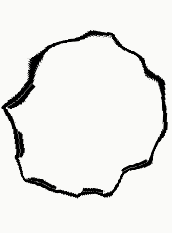 [C]1=C/C=C/C=C\C=C\C=C\CCCCCCCC/1